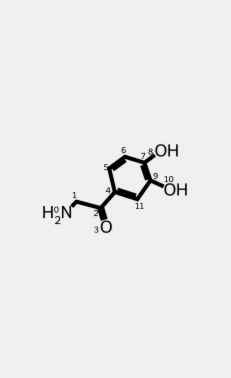 NCC(=O)c1ccc(O)c(O)c1